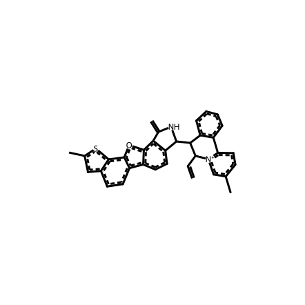 C=CC1C(C2NC(=C)c3c2ccc2c3oc3c2ccc2cc(C)sc23)c2ccccc2-c2ccc(C)c[n+]21